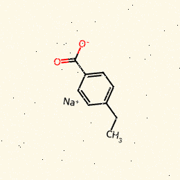 CCc1ccc(C(=O)[O-])cc1.[Na+]